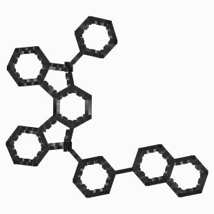 c1ccc(-n2c3ccccc3c3c4c5ccccc5n(-c5cccc(-c6ccc7ccccc7c6)c5)c4ccc32)cc1